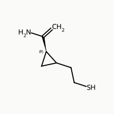 C=C(N)[C@@H]1CC1CCS